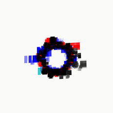 CCCC[C@H]1C(=O)N2CCC[C@@H]2C(=O)N[C@@H](CC(=O)O)C(=O)N[C@@H](C(C)C)C(=O)N(C)[C@@H](C(C)CC)C(=O)N[C@@H](Cc2ccc(O)cc2)C(=O)N2CCCC[C@@H]2C(=O)N[C@@H](Cc2c[nH]c3ccccc23)C(=O)N[C@@H](Cc2ccc(O)cc2)C(=O)N[C@@H](CCCN)C(=O)N[C@H](C(=O)NCC(N)=O)CSCC(=O)N[C@@H](Cc2ccc(F)cc2)C(=O)N(C)[C@@H](Cc2ccccc2)C(=O)N1C